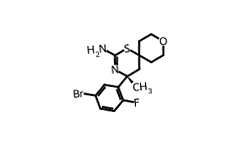 C[C@]1(c2cc(Br)ccc2F)CC2(CCOCC2)SC(N)=N1